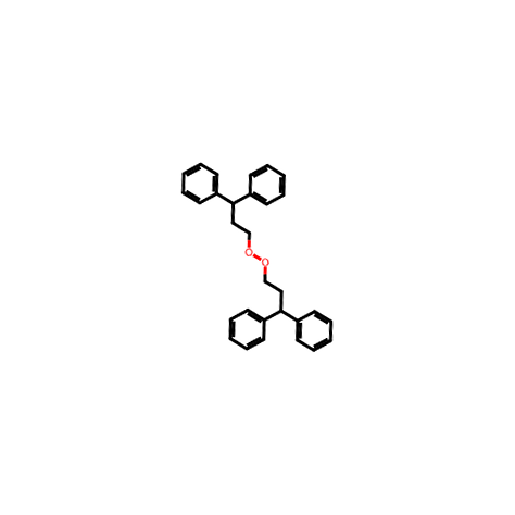 c1ccc(C(CCOOCCC(c2ccccc2)c2ccccc2)c2ccccc2)cc1